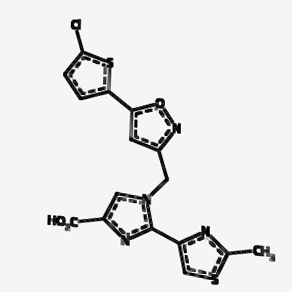 Cc1nc(-c2nc(C(=O)O)cn2Cc2cc(-c3ccc(Cl)s3)on2)cs1